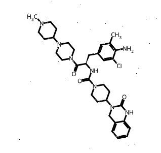 Cc1cc(C[C@@H](NC(=O)N2CCC(N3Cc4ccccc4NC3=O)CC2)C(=O)N2CCN(C3CCN(C)CC3)CC2)cc(Cl)c1N